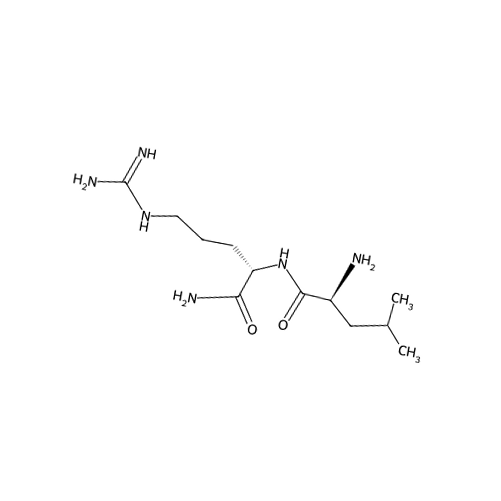 CC(C)C[C@H](N)C(=O)N[C@@H](CCCNC(=N)N)C(N)=O